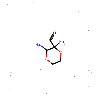 [CH]=CC1(N)OCCOC1N